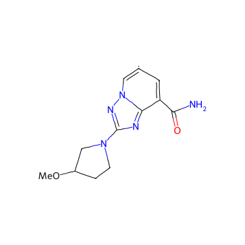 COC1CCN(c2nc3c(C(N)=O)c[c]cn3n2)C1